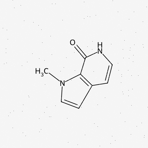 Cn1ccc2cc[nH]c(=O)c21